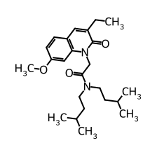 CCc1cc2ccc(OC)cc2n(CC(=O)N(CCC(C)C)CCC(C)C)c1=O